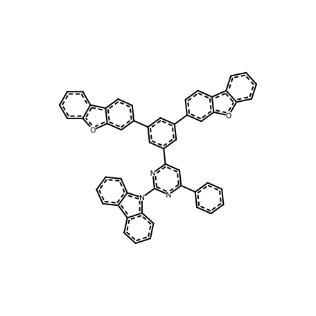 c1ccc(-c2cc(-c3cc(-c4ccc5c(c4)oc4ccccc45)cc(-c4ccc5c(c4)oc4ccccc45)c3)nc(-n3c4ccccc4c4ccccc43)n2)cc1